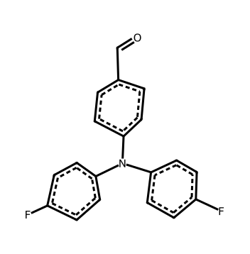 O=Cc1ccc(N(c2ccc(F)cc2)c2ccc(F)cc2)cc1